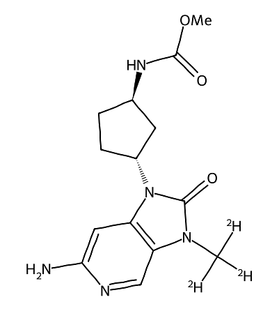 [2H]C([2H])([2H])n1c(=O)n([C@@H]2CC[C@@H](NC(=O)OC)C2)c2cc(N)ncc21